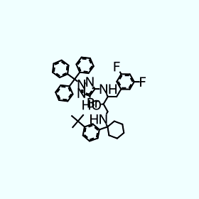 CC(C)(C)c1cccc(C2(NCC(O)C(Cc3cc(F)cc(F)c3)Nc3nn(C(c4ccccc4)(c4ccccc4)c4ccccc4)nc3Br)CCCCC2)c1